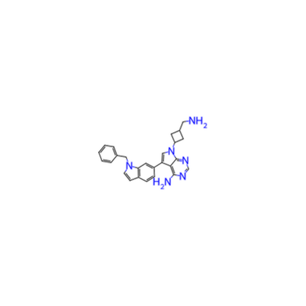 NCC1CC(n2cc(-c3ccc4ccn(Cc5ccccc5)c4c3)c3c(N)ncnc32)C1